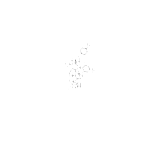 CCNS(=O)(=O)c1cnn2c(Nc3ccc(F)cc3C)c(C(=O)N3CCC(c4ccc(F)cc4)CC3)cnc12